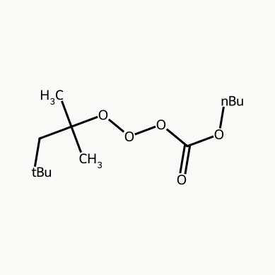 CCCCOC(=O)OOOC(C)(C)CC(C)(C)C